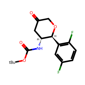 CC(C)(C)OC(=O)N[C@@H]1CC(=O)CO[C@H]1c1cc(F)ccc1F